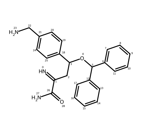 N=C(CC(OC(c1ccccc1)c1ccccc1)c1ccc(CN)cc1)C(N)=O